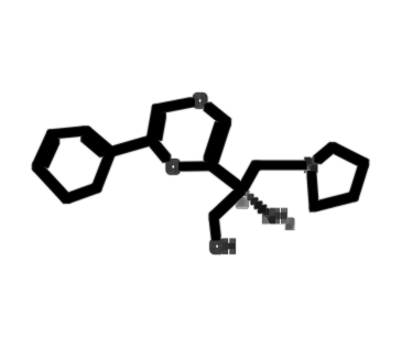 N[C@@](CO)(CN1CCCC1)C1=COC=C(C2=CC=CCC2)O1